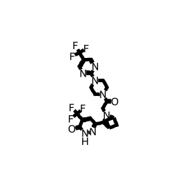 O=C(CN1C2CC(C2)C1c1cc(C(F)(F)F)c(=O)[nH]n1)N1CCN(c2ncc(C(F)(F)F)cn2)CC1